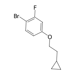 Fc1cc(OCCC2CC2)ccc1Br